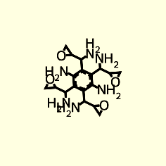 Nc1c(C(N)C2CO2)c(C(N)C2CO2)c(N)c(C(N)C2CO2)c1C(N)C1CO1